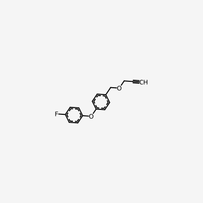 C#CCOCc1ccc(Oc2ccc(F)cc2)cc1